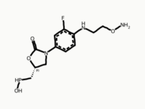 NOCCNc1ccc(N2C[C@H](CPO)OC2=O)cc1F